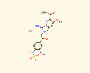 Br.CCOc1cc2c(nc1C(=O)NC)C(=N)N(CC(=O)c1ccc(N(C)S(C)(=O)=O)c(C(C)(C)C)c1)C2